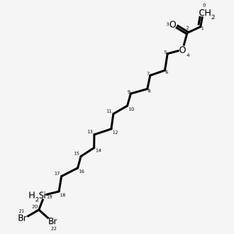 C=CC(=O)OCCCCCCCCCCCCCC[SiH2]C(Br)Br